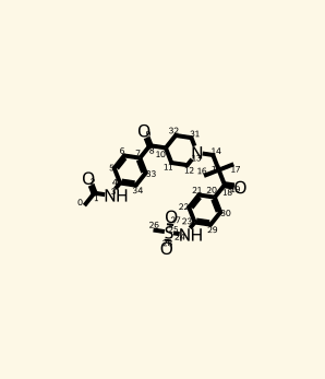 CC(=O)Nc1ccc(C(=O)C2CCN(CC(C)(C)C(=O)c3ccc(NS(C)(=O)=O)cc3)CC2)cc1